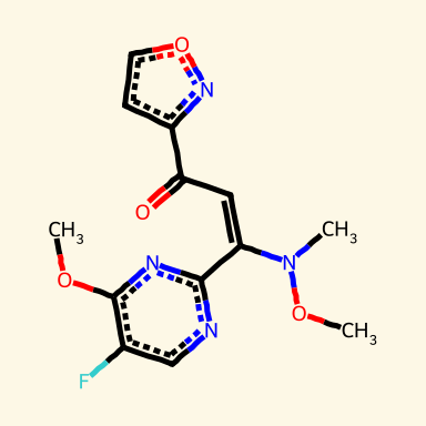 COc1nc(/C(=C\C(=O)c2ccon2)N(C)OC)ncc1F